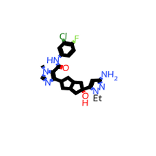 CCn1nc(N)cc1C1(O)CC2CC(c3ncn(C)c3C(=O)Nc3ccc(F)c(Cl)c3)CC2C1